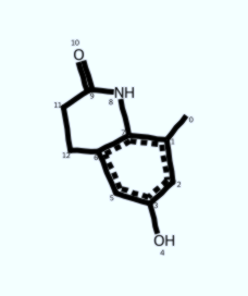 Cc1cc(O)cc2c1NC(=O)CC2